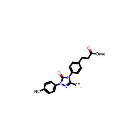 COC(=O)CCc1ccc(-n2c(C(F)(F)F)nn(-c3ccc(C#N)cc3)c2=O)cc1